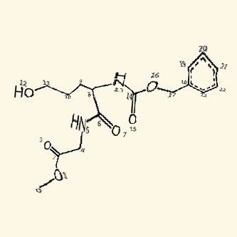 COC(=O)CNC(=O)C(CCCO)NC(=O)OCc1ccccc1